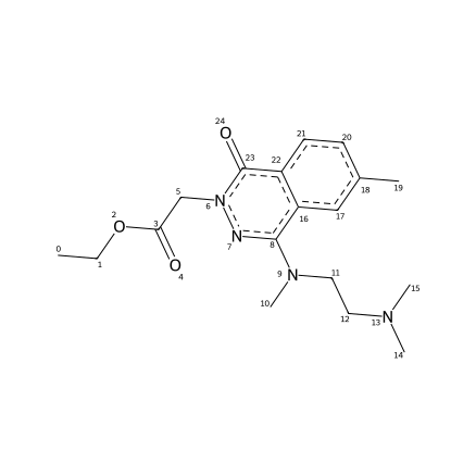 CCOC(=O)Cn1nc(N(C)CCN(C)C)c2cc(C)ccc2c1=O